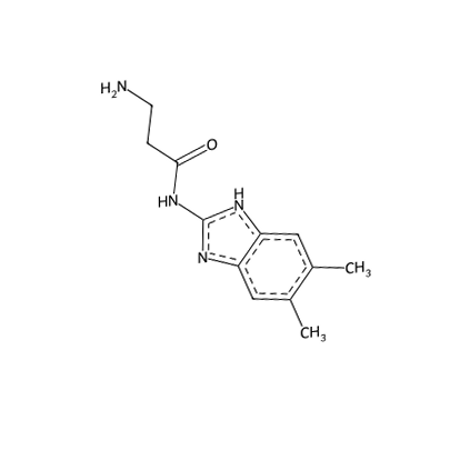 Cc1cc2nc(NC(=O)CCN)[nH]c2cc1C